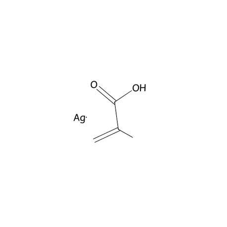 C=C(C)C(=O)O.[Ag]